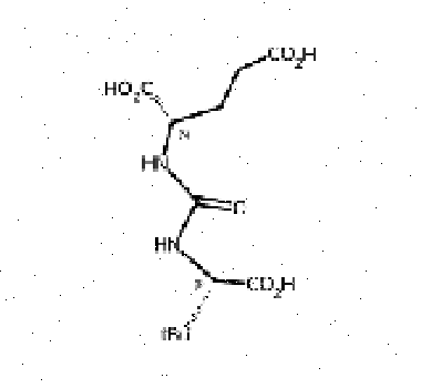 CC(C)(C)[C@H](NC(=O)N[C@@H](CCC(=O)O)C(=O)O)C(=O)O